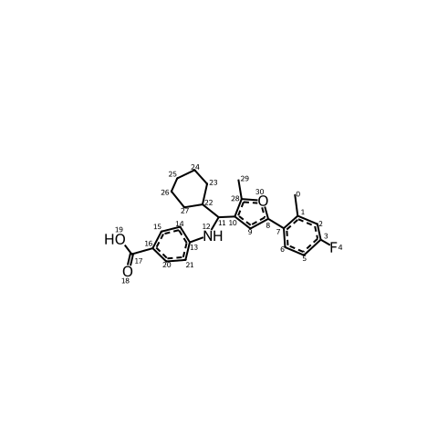 Cc1cc(F)ccc1-c1cc(C(Nc2ccc(C(=O)O)cc2)C2CCCCC2)c(C)o1